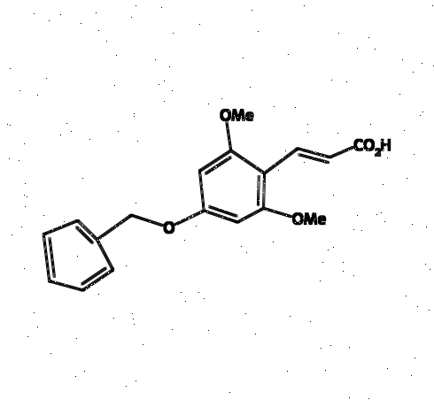 COc1cc(OCc2ccccc2)cc(OC)c1/C=C/C(=O)O